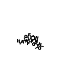 Cc1nc(C(=O)Nc2ccc(F)c(C3(C(F)F)COCC(N)=N3)c2)c(C)o1